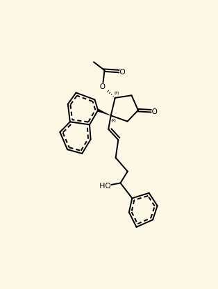 CC(=O)O[C@@H]1CC(=O)C[C@@]1(C=CCCC(O)c1ccccc1)c1cccc2ccccc12